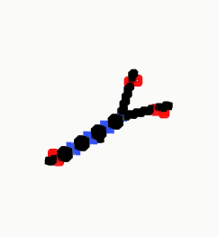 C=CC(=O)COCCCCCCCCN(CCCCCCCCOC(=O)C=C)c1ccc(N=Nc2ccc(N=Nc3ccc(N=Nc4ccc(OC(=O)C=C)cc4)cc3)c(C)c2)cc1